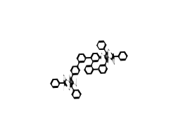 C1=CCCC(c2nc(-c3ccccc3)nc(-c3cccc(-c4ccccc4-c4ccccc4-c4cccc(-c5ccc(-c6nc(-c7ccccc7)nc(-c7ccccc7)n6)cc5)c4)c3)n2)=C1